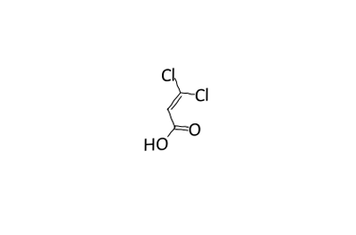 O=C(O)C=C(Cl)Cl